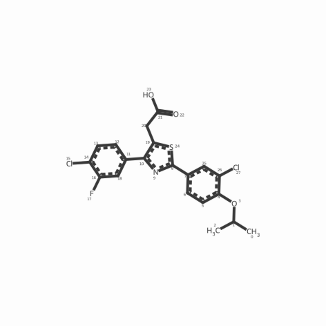 CC(C)Oc1ccc(-c2nc(-c3ccc(Cl)c(F)c3)c(CC(=O)O)s2)cc1Cl